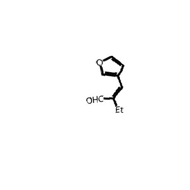 CCC(C=O)=Cc1ccoc1